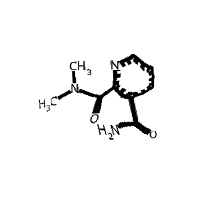 CN(C)C(=O)c1ncccc1C(N)=O